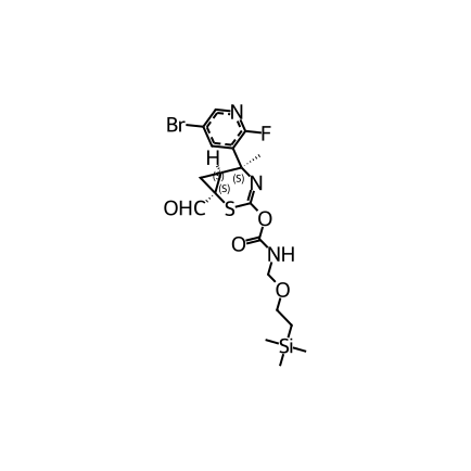 C[C@]1(c2cc(Br)cnc2F)N=C(OC(=O)NCOCC[Si](C)(C)C)S[C@@]2(C=O)C[C@H]21